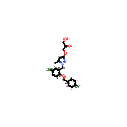 Cc1cc(OCC(=O)CO)nn1Cc1cc(Cl)ccc1OCc1ccc(Cl)cc1